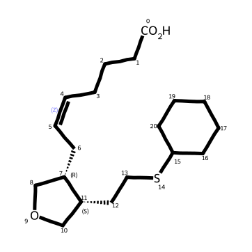 O=C(O)CCC/C=C\C[C@H]1COC[C@H]1CCSC1CCCCC1